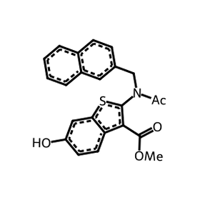 COC(=O)c1c(N(Cc2ccc3ccccc3c2)C(C)=O)sc2cc(O)ccc12